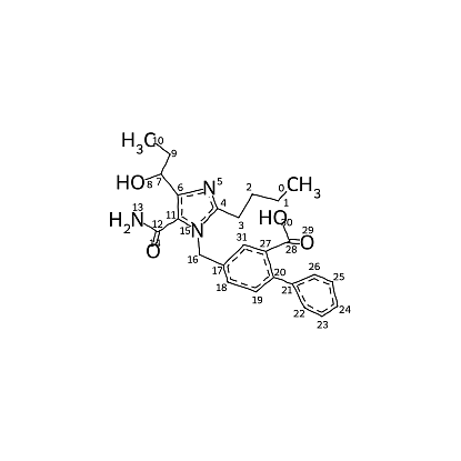 CCCCc1nc(C(O)CC)c(C(N)=O)n1Cc1ccc(-c2ccccc2)c(C(=O)O)c1